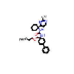 COCCOCC1(NC(=O)NC2(c3ccnc(C#N)n3)CCCCC2)C=CC(c2ccccc2)=CC1